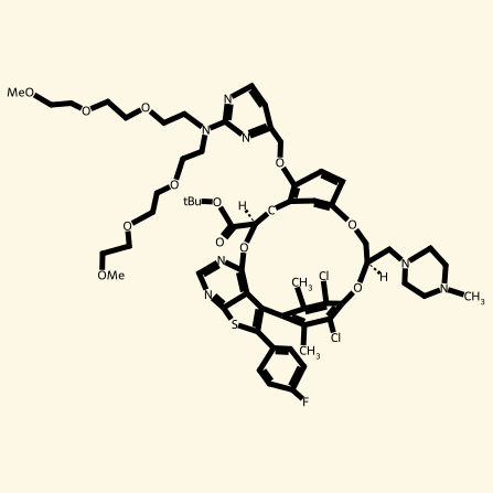 COCCOCCOCCN(CCOCCOCCOC)c1nccc(COc2ccc3cc2C[C@H](C(=O)OC(C)(C)C)Oc2ncnc4sc(-c5ccc(F)cc5)c(c24)-c2c(C)c(Cl)c(c(Cl)c2C)O[C@H](CN2CCN(C)CC2)CO3)n1